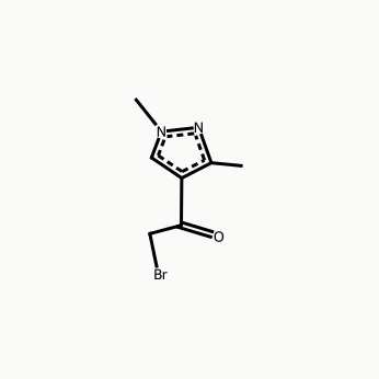 Cc1nn(C)cc1C(=O)CBr